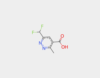 Cc1nnc(C(F)F)cc1C(=O)O